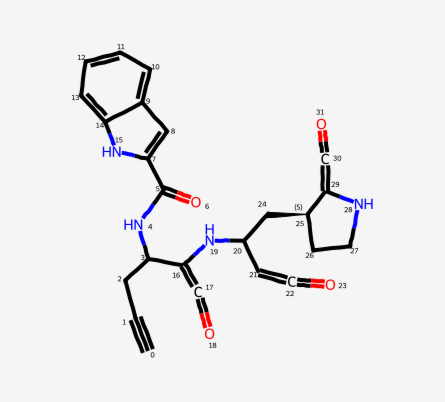 C#CCC(NC(=O)c1cc2ccccc2[nH]1)C(=C=O)NC(C=C=O)C[C@@H]1CCNC1=C=O